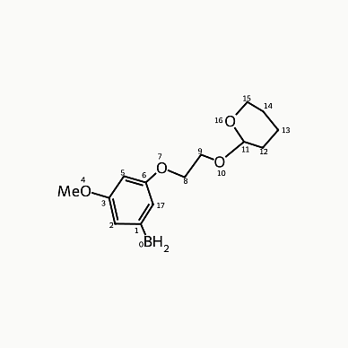 Bc1cc(OC)cc(OCCOC2CCCCO2)c1